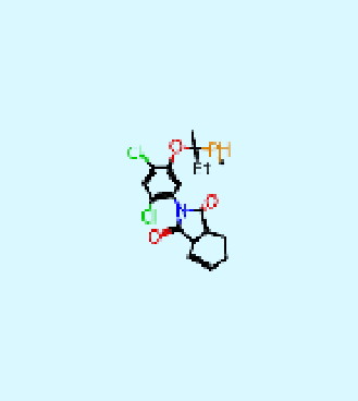 CCC(C)(Oc1cc(N2C(=O)C3C=CCCC3C2=O)c(Cl)cc1Cl)PC